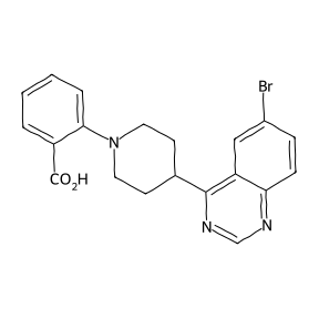 O=C(O)c1ccccc1N1CCC(c2ncnc3ccc(Br)cc23)CC1